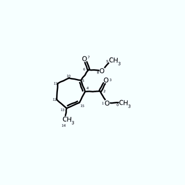 COC(=O)C1=C(C(=O)OC)CCCC(C)=C1